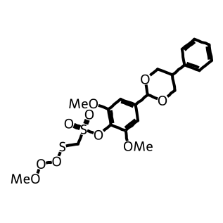 COOOSCS(=O)(=O)Oc1c(OC)cc(C2OCC(c3ccccc3)CO2)cc1OC